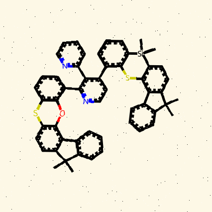 CC1(C)c2ccccc2-c2c1ccc1c2Oc2c(cccc2-c2nccc(-c3cccc4c3Sc3c(ccc5c3-c3ccccc3C5(C)C)[Si]4(C)C)c2-c2ccccn2)S1